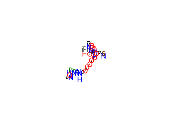 Cc1ncsc1-c1ccc(CNC(=O)[C@@H]2C[C@@H](O)CN2C(=O)C(C(C)C)N2Cc3ccccc3C2=O)c(OCCOCCOCCOCCOCCOc2ccc(Nc3ncc(Br)c(NCCCN(C)C(=O)C4CCC4)n3)cc2)c1